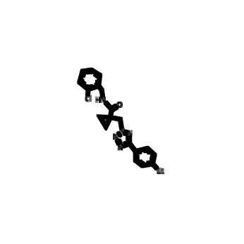 CCc1ccc(-c2nnn(CC3(C(=O)NCc4ccccc4Cl)CC3)n2)cc1